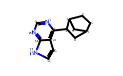 c1nc(C2CC3CCC2C3)c2cc[nH]c2n1